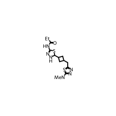 CCC(=O)NC1=NNC(C2CC(Cc3nnc(NC)s3)C2)S1